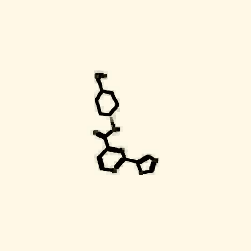 CO[C@H]1CC[C@H](NC(=O)c2ccnc(-c3cncs3)n2)CC1